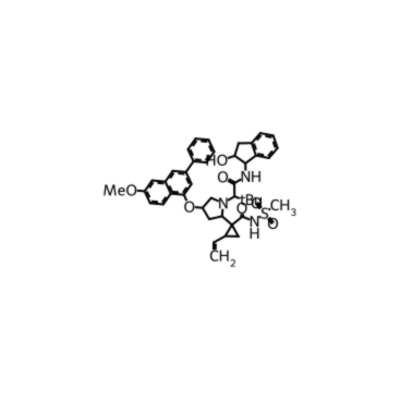 C=CC1CC1(C(=O)NS(C)(=O)=O)C1CC(Oc2cc(-c3ccccc3)cc3cc(OC)ccc23)CN1C(C(=O)NC1c2ccccc2CC1O)C(C)(C)C